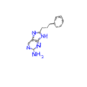 Nc1ncc2nc(CCCc3ccccc3)[nH]c2n1